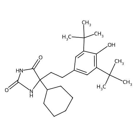 CC(C)(C)c1cc(CCC2(C3CCCCC3)NC(=O)NC2=O)cc(C(C)(C)C)c1O